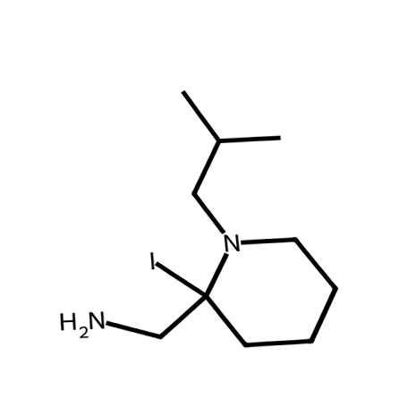 CC(C)CN1CCCCC1(I)CN